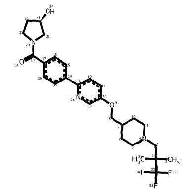 CC(C)(CN1CCC(COc2ccc(-c3ccc(C(=O)N4CC[C@@H](O)C4)cc3)nc2)CC1)C(F)(F)F